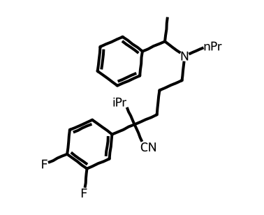 CCCN(CCCC(C#N)(c1ccc(F)c(F)c1)C(C)C)C(C)c1ccccc1